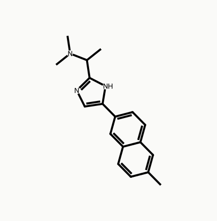 Cc1ccc2cc(-c3cnc(C(C)N(C)C)[nH]3)ccc2c1